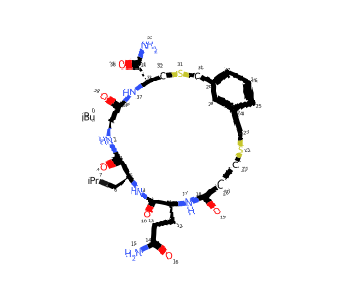 CC[C@H](C)[C@@H]1NC(=O)[C@H](CC(C)C)NC(=O)[C@H](CCC(N)=O)NC(=O)CCSCc2cccc(c2)CSC[C@@H](C(N)=O)NC1=O